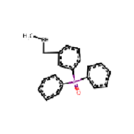 CBCc1cccc(P(=O)(c2ccccc2)c2ccccc2)c1